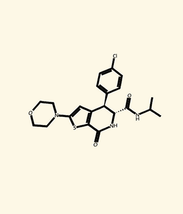 CC(C)NC(=O)[C@@H]1NC(=O)c2sc(N3CCOCC3)cc2[C@H]1c1ccc(Cl)cc1